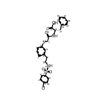 O=C(CSc1cccc(CCNS(=O)(=O)c2ccc(Cl)cc2)c1)N[C@@H](Cc1ccccc1)C(=O)O